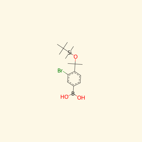 CC(C)(O[Si](C)(C)C(C)(C)C)c1ccc(B(O)O)cc1Br